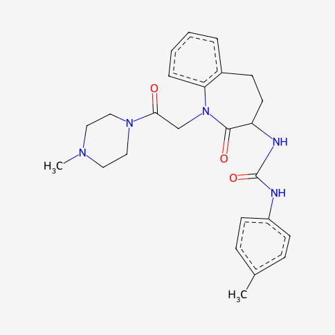 Cc1ccc(NC(=O)NC2CCc3ccccc3N(CC(=O)N3CCN(C)CC3)C2=O)cc1